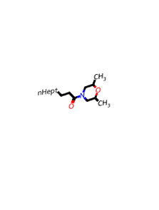 CCCCCCCCCC(=O)N1CC(C)OC(C)C1